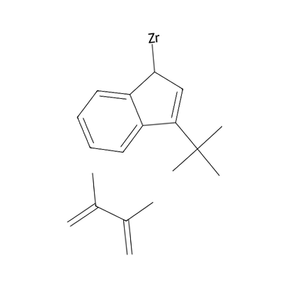 C=C(C)C(=C)C.CC(C)(C)C1=C[CH]([Zr])c2ccccc21